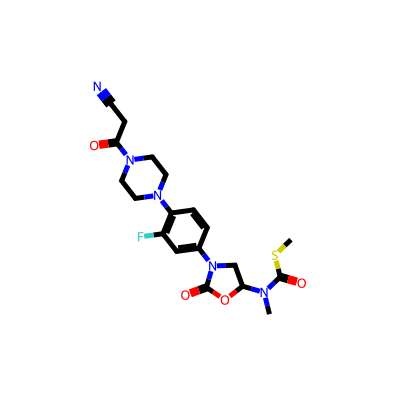 CSC(=O)N(C)C1CN(c2ccc(N3CCN(C(=O)CC#N)CC3)c(F)c2)C(=O)O1